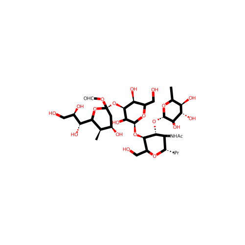 CC(=O)NC1[C@H](C(C)C)OC(CO)[C@@H](O[C@@H]2OC(CO)[C@H](O)[C@H](O[C@]3(OC=O)C[C@@H](O)[C@@H](C)C([C@H](O)[C@H](O)CO)O3)C2O)[C@@H]1O[C@@H]1OC(C)[C@@H](O)[C@H](O)C1O